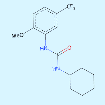 COc1ccc(C(F)(F)F)cc1NC(=O)NC1CCCCC1